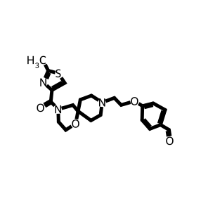 Cc1nc(C(=O)N2CCOC3(CCN(CCOc4ccc(C=O)cc4)CC3)C2)cs1